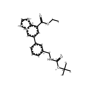 CCOC(=O)c1cc(-c2cccc(CNC(=O)OC(C)(C)C)c2)cn2ncnc12